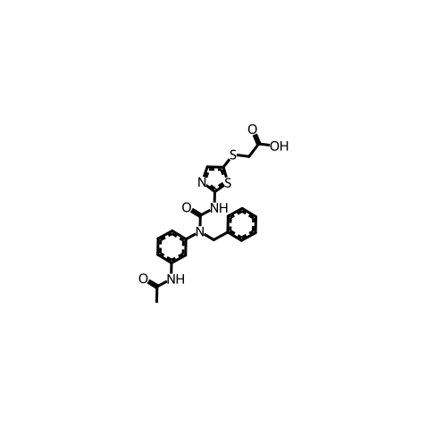 CC(=O)Nc1cccc(N(Cc2ccccc2)C(=O)Nc2ncc(SCC(=O)O)s2)c1